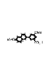 COc1cc(C(=O)O)cc(-c2ccc3cc(OC)ccc3c2)c1